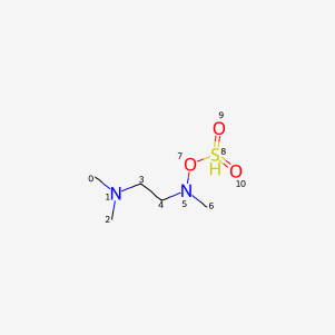 CN(C)CCN(C)O[SH](=O)=O